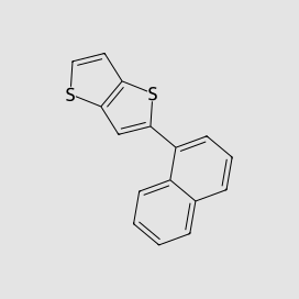 c1ccc2c(-c3cc4sccc4s3)cccc2c1